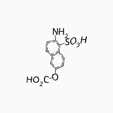 Nc1ccc2cc(OC(=O)O)ccc2c1S(=O)(=O)O